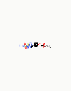 COC(=O)COc1ccc(C2CN3N=C(S(N)(=O)=O)SC3=N2)cc1